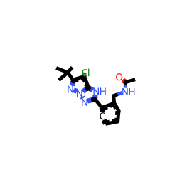 CC(=O)NCc1ccccc1-c1nn2nc(C(C)(C)C)c(Cl)c2[nH]1